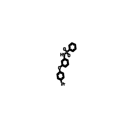 CC(C)c1ccc(Oc2cccc(NS(=O)(=O)c3ccccc3)c2)cc1